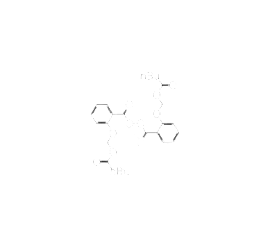 CCCCC(=O)OCOc1ccccc1C(=O)OOC(=O)c1ccccc1OCOC(=O)CCCC